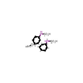 CCCC.O=S(=O)(O)Pc1ccccc1.O=S(=O)(O)Pc1ccccc1